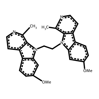 COc1ccc2c3ccnc(C)c3n(CCn3c4cc(OC)ccc4c4ccnc(C)c43)c2c1